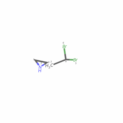 C1CN1.CC(Br)Br